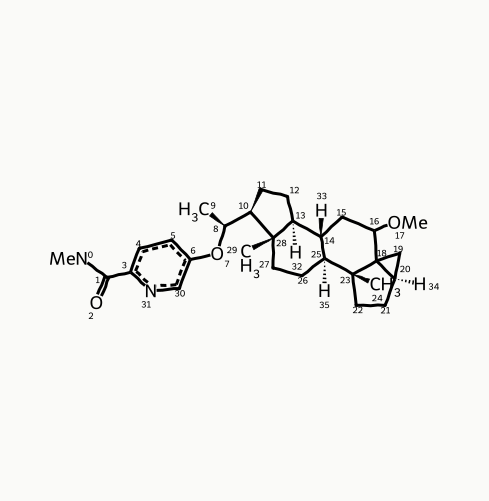 CNC(=O)c1ccc(O[C@@H](C)[C@H]2CC[C@H]3[C@@H]4CC(OC)C56C[C@H]5CC[C@]6(C)[C@H]4CC[C@]23C)cn1